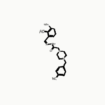 CCCc1cccc(/C=N\NC(=O)CN2CCN(Cc3ccc(C#N)cc3)CC2)c1O